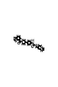 O=C(NCc1ccn2ccnc2c1)Nc1ccc(C2CCN(C(=O)c3cccc4ncsc34)CC2)cc1